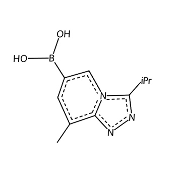 Cc1cc(B(O)O)cn2c(C(C)C)nnc12